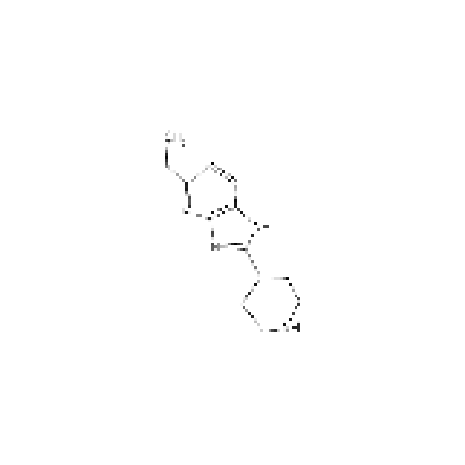 [CH2]Cc1ccc2[nH]c(C3CCNCC3)nc2c1